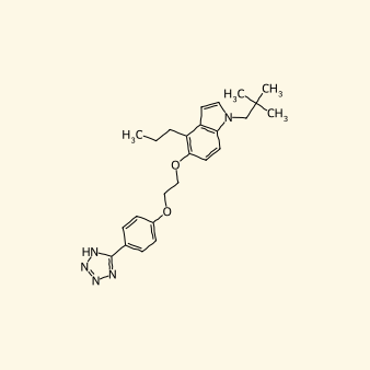 CCCc1c(OCCOc2ccc(-c3nnn[nH]3)cc2)ccc2c1ccn2CC(C)(C)C